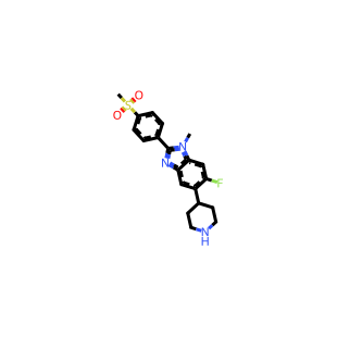 Cn1c(-c2ccc(S(C)(=O)=O)cc2)nc2cc(C3CCNCC3)c(F)cc21